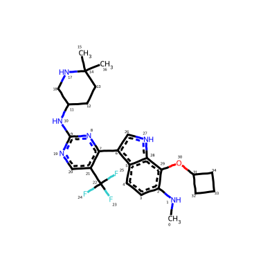 CNc1ccc2c(-c3nc(NC4CCC(C)(C)NC4)ncc3C(F)(F)F)c[nH]c2c1OC1CCC1